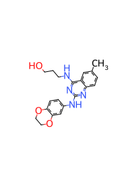 Cc1ccc2nc(Nc3ccc4c(c3)OCCO4)nc(NCCCO)c2c1